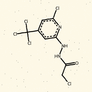 O=C(CCl)NNc1cc(C(Cl)(Cl)Cl)cc(Cl)n1